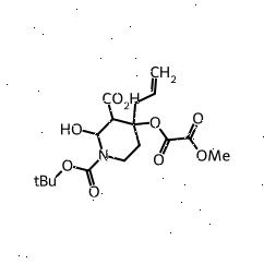 C=CCC1(OC(=O)C(=O)OC)CCN(C(=O)OC(C)(C)C)C(O)C1C(=O)O